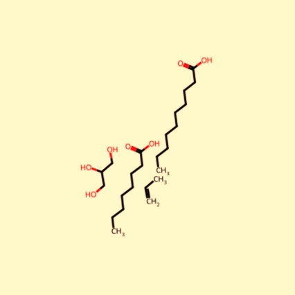 C=CC.CCCCCCCC(=O)O.CCCCCCCCCC(=O)O.OCC(O)CO